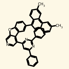 Cc1ccc2cc(-c3ccc4oc5cncc(-c6cc(-c7ccccc7)nc(-c7ccccc7)n6)c5c4c3)c3ccc(C)cc3c2c1